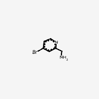 NCc1cc(Br)ccn1